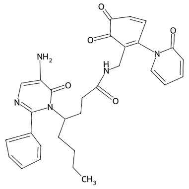 CCCCC(CCC(=O)NCC1=C(n2ccccc2=O)C=CC(=O)C1=O)n1c(-c2ccccc2)ncc(N)c1=O